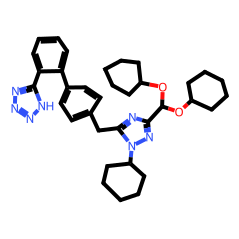 c1ccc(-c2nnn[nH]2)c(-c2ccc(Cc3nc(C(OC4CCCCC4)OC4CCCCC4)nn3C3CCCCC3)cc2)c1